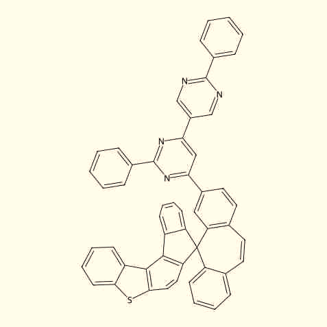 C1=Cc2ccc(-c3cc(-c4cnc(-c5ccccc5)nc4)nc(-c4ccccc4)n3)cc2C2(c3ccccc31)c1ccccc1-c1c2ccc2sc3ccccc3c12